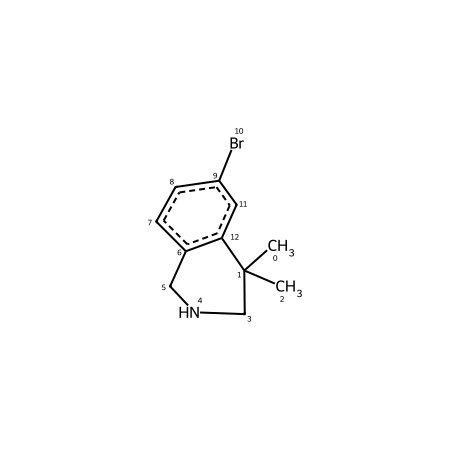 CC1(C)CNCc2ccc(Br)cc21